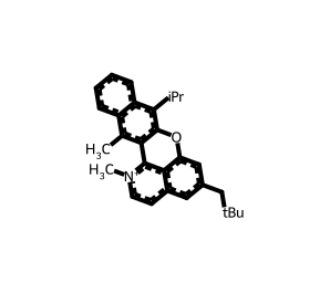 Cc1c2c(c(C(C)C)c3ccccc13)Oc1cc(CC(C)(C)C)cc3cc[n+](C)c-2c13